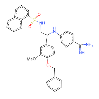 COc1cc(C(CNS(=O)(=O)c2cccc3ccccc23)Nc2ccc(C(=N)N)cc2)ccc1OCc1ccccc1